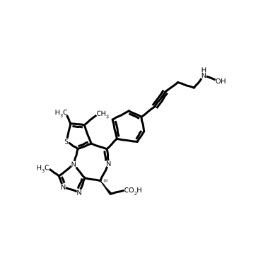 Cc1sc2c(c1C)C(c1ccc(C#CCCNO)cc1)=N[C@@H](CC(=O)O)c1nnc(C)n1-2